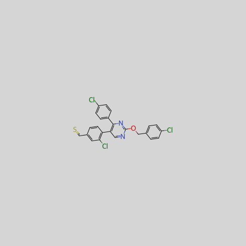 S=Cc1ccc(-c2cnc(OCc3ccc(Cl)cc3)nc2-c2ccc(Cl)cc2)c(Cl)c1